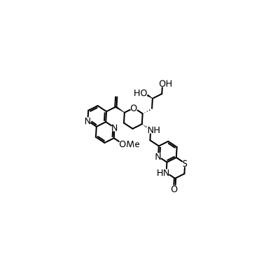 C=C(c1ccnc2ccc(OC)nc12)[C@@H]1CC[C@@H](NCc2ccc3c(n2)NC(=O)CS3)[C@@H](C[C@@H](O)CO)O1